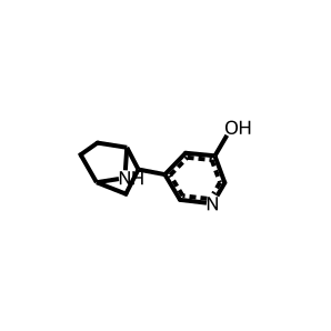 Oc1cncc(C2CC3CCC2N3)c1